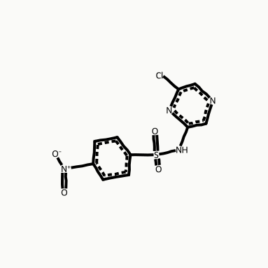 O=[N+]([O-])c1ccc(S(=O)(=O)Nc2cncc(Cl)n2)cc1